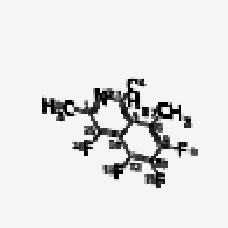 Cc1nc(C)c2c(C)c(F)c(F)c(F)c2c1F